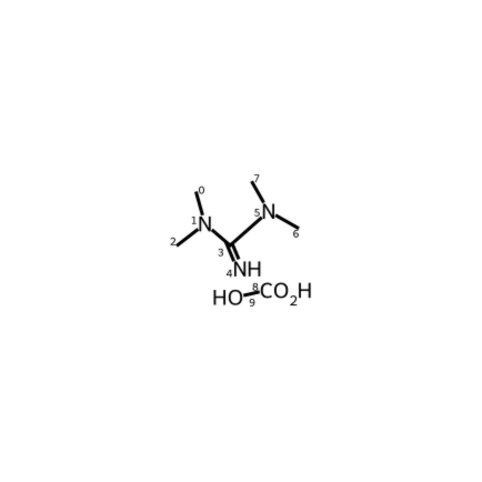 CN(C)C(=N)N(C)C.O=C(O)O